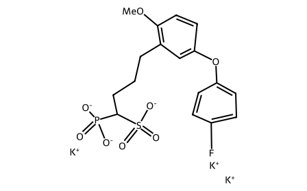 COc1ccc(Oc2ccc(F)cc2)cc1CCCC(P(=O)([O-])[O-])S(=O)(=O)[O-].[K+].[K+].[K+]